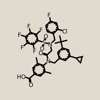 Cc1cc(C(=O)O)cc(C)c1N(Cc1cc(C2CC2)cc(C(C)(C)C)c1)C(=O)CN(Cc1ccc(F)cc1Cl)S(=O)(=O)c1c(F)c(F)c(F)c(F)c1F